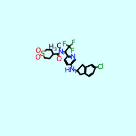 CN(C(=O)C1CCS(=O)(=O)CC1)[C@@H](c1ccc(N[C@@H]2Cc3ccc(Cl)cc3C2)cn1)C(F)(F)F